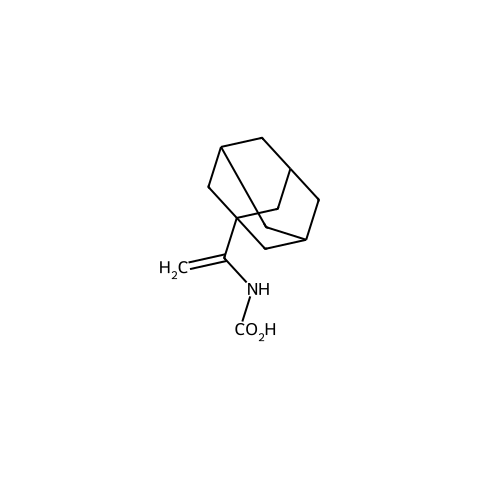 C=C(NC(=O)O)C12CC3CC(CC(C3)C1)C2